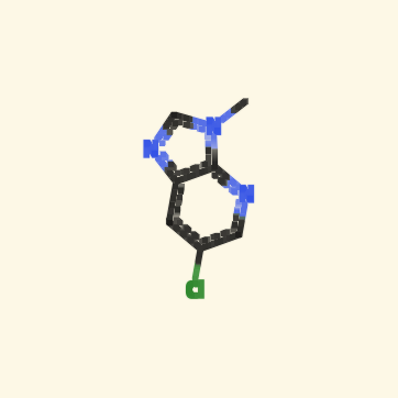 Cn1cnc2cc(Cl)cnc21